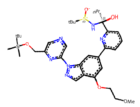 CCC[C@@](O)(N[S@+]([O-])C(C)(C)C)c1cccc(-c2cc(OCCOC)c3cnn(-c4cncc(CO[Si](C)(C)C(C)(C)C)n4)c3c2)n1